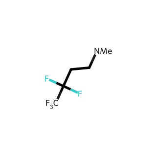 CNCCC(F)(F)C(F)(F)F